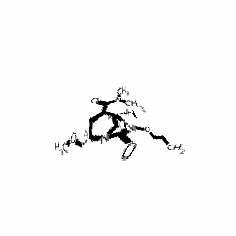 C=CCON1C(=O)N2C[C@H]1C(C(=O)N(C)C)=C[C@H]2COC